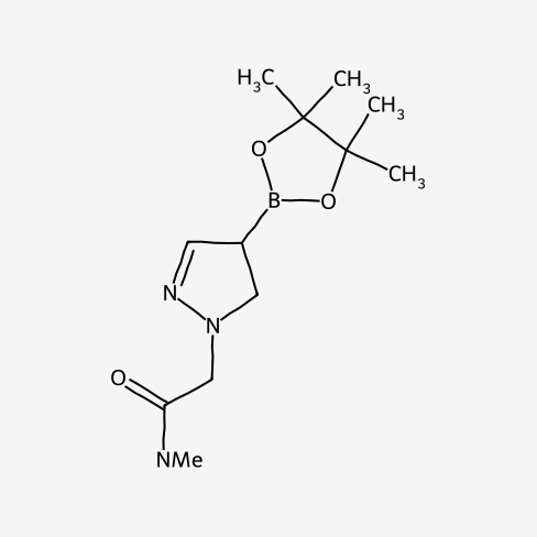 CNC(=O)CN1CC(B2OC(C)(C)C(C)(C)O2)C=N1